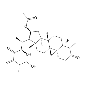 C=C(C(=O)[C@H](O)[C@@H](C)[C@H]1[C@@H](OC(C)=O)C[C@@]2(C)[C@@H]3CC[C@H]4[C@H](C)C(=O)CC[C@@]45C[C@@]35CC[C@]12C)[C@@H](C)CO